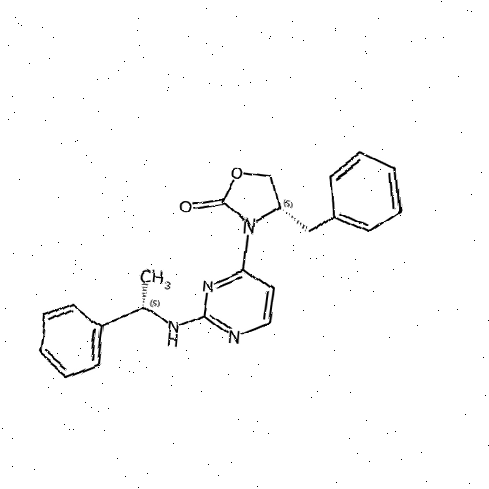 C[C@H](Nc1nccc(N2C(=O)OC[C@@H]2Cc2ccccc2)n1)c1ccccc1